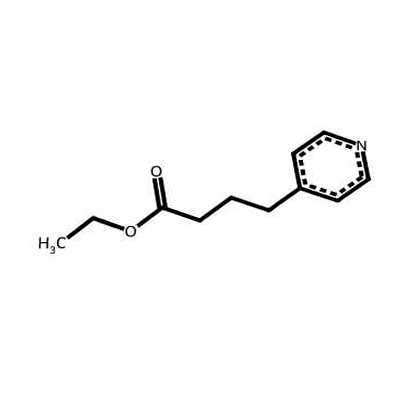 CCOC(=O)CCCc1ccncc1